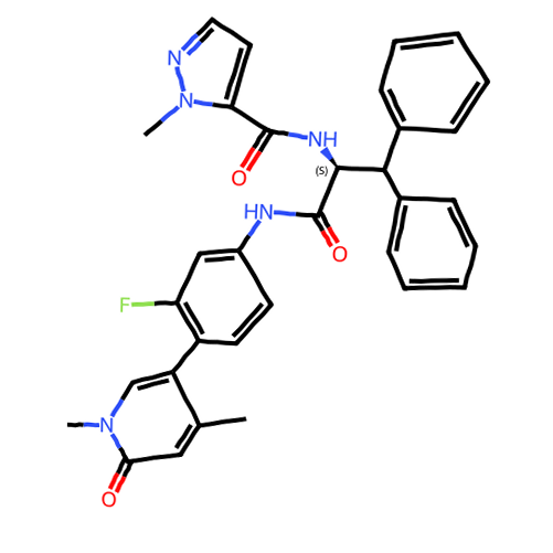 Cc1cc(=O)n(C)cc1-c1ccc(NC(=O)[C@@H](NC(=O)c2ccnn2C)C(c2ccccc2)c2ccccc2)cc1F